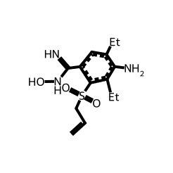 C=CCS(=O)(=O)c1c(C(=N)NO)cc(CC)c(N)c1CC